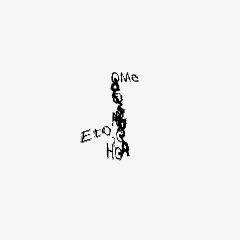 CCOC(=O)C(Cc1ccc2c(nnn2CCCCOCc2ccc(OC)cc2)c1C)c1ccc(C)c(CO)c1